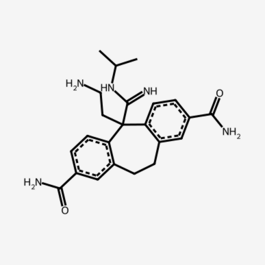 CC(C)NC(=N)C1(CCN)c2ccc(C(N)=O)cc2CCc2cc(C(N)=O)ccc21